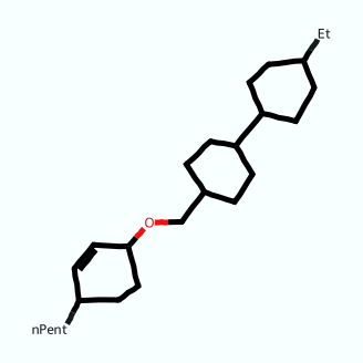 CCCCCC1C=CC(OCC2CCC(C3CCC(CC)CC3)CC2)CC1